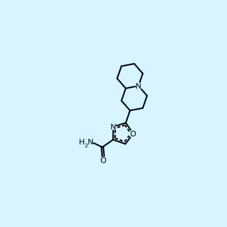 NC(=O)c1coc(C2CCN3CCCCC3C2)n1